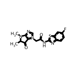 CC1C(=O)c2c(ncn2CC(=O)Nc2nc3ccc(F)cc3s2)N1C